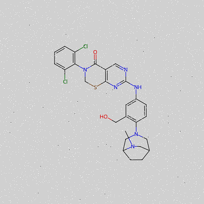 CN1CC2CCC1CN(c1ccc(Nc3ncc4c(n3)SCN(c3c(Cl)cccc3Cl)C4=O)cc1CO)C2